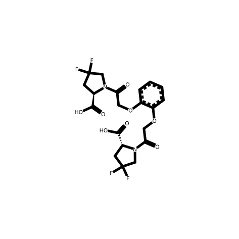 O=C(O)[C@H]1CC(F)(F)CN1C(=O)COc1ccccc1OCC(=O)N1CC(F)(F)C[C@@H]1C(=O)O